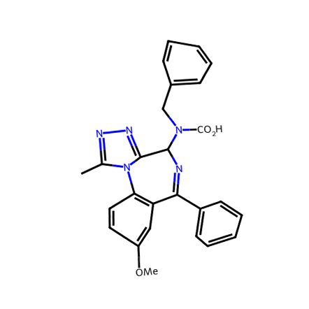 COc1ccc2c(c1)C(c1ccccc1)=NC(N(Cc1ccccc1)C(=O)O)c1nnc(C)n1-2